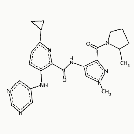 CC1CCCN1C(=O)c1nn(C)cc1NC(=O)c1nc(C2CC2)ccc1Nc1cncnc1